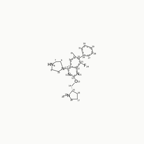 Cc1cc2c(N3CCNCC3)nc(OC[C@@H]3CCCN3C)nc2c(F)c1-c1ccccc1